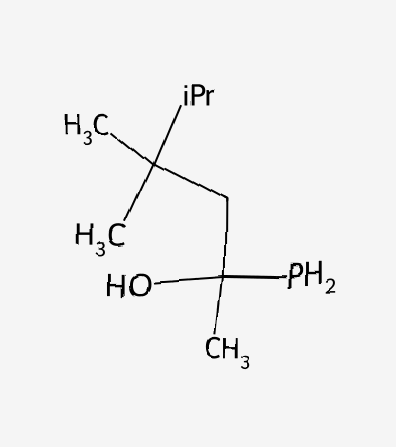 CC(C)C(C)(C)CC(C)(O)P